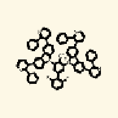 Fc1cccc(F)c1-c1cc(-n2c3ccc(-c4cccnc4-c4ccccc4)cc3c3cc(-c4cccnc4-c4ccccc4)ccc32)c(C(F)(F)F)c(-n2c3ccc(-c4cccnc4-c4ccccc4)cc3c3cc(-c4cccnc4-c4ccccc4)ccc32)c1